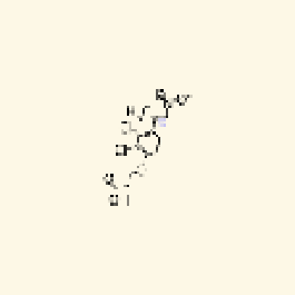 C/C(=C\[N+](=O)[O-])c1ccc(OCCC(=O)O)c(Cl)c1Cl